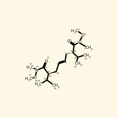 CON(C)C(=O)[C@@H](CC=CC[C@H](C(=O)N(C)OC)C(C)C)C(C)C